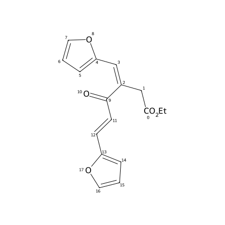 CCOC(=O)CC(=Cc1ccco1)C(=O)C=Cc1ccco1